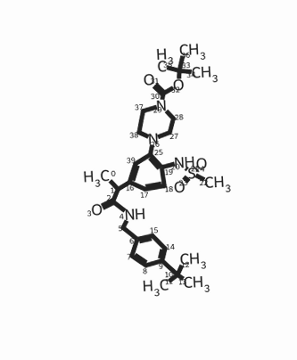 CC(C(=O)NCc1ccc(C(C)(C)C)cc1)c1ccc(NS(C)(=O)=O)c(N2CCN(C(=O)OC(C)(C)C)CC2)c1